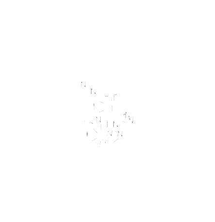 CCN1CCN(Cc2ccc(NC(=O)c3ccc(C)c(Oc4ccnc(Nc5cnn(C)c5)n4)c3)cc2C(F)(F)F)CC1